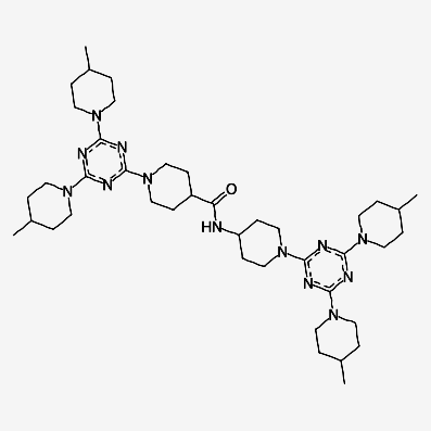 CC1CCN(c2nc(N3CCC(C)CC3)nc(N3CCC(NC(=O)C4CCN(c5nc(N6CCC(C)CC6)nc(N6CCC(C)CC6)n5)CC4)CC3)n2)CC1